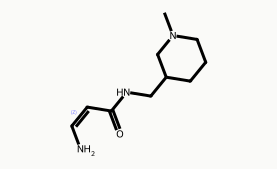 CN1CCCC(CNC(=O)/C=C\N)C1